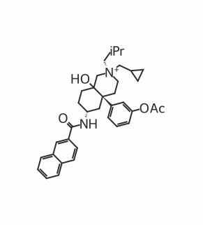 CC(=O)Oc1cccc([C@]23CC[N@+](CC(C)C)(CC4CC4)CC2(O)CC[C@@H](NC(=O)c2ccc4ccccc4c2)C3)c1